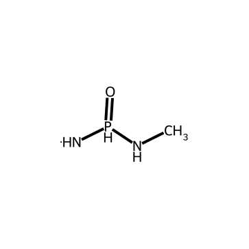 CN[PH]([NH])=O